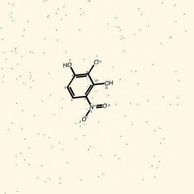 O=[N+]([O-])c1ccc(O)c(Cl)c1O